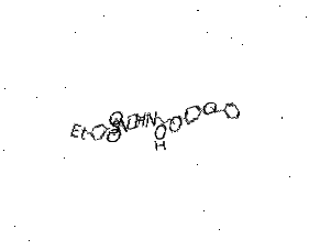 CCc1ccc(S(=O)(=O)N2CCC(CNC[C@H](O)COc3ccc(OCc4ccccc4)cc3)CC2)cc1